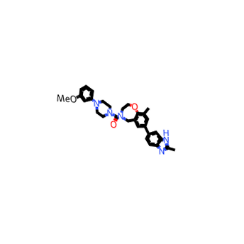 COc1cccc(N2CCN(C(=O)N3CCOc4c(C)cc(-c5ccc6nc(C)[nH]c6c5)cc4C3)CC2)c1